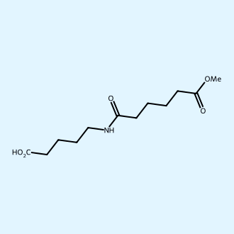 COC(=O)CCCCC(=O)NCCCCC(=O)O